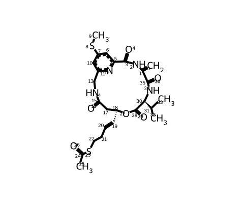 C=C1NC(=O)c2cc(SC)cc(n2)CNC(=O)C[C@@H](/C=C/CCSC(C)=O)OC(=O)[C@H](C(C)C)NC1=O